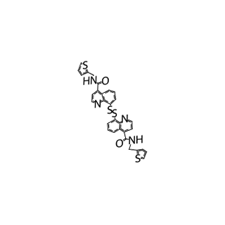 O=C(NCc1cccs1)c1ccnc2c(SSc3cccc4c(C(=O)NCc5cccs5)ccnc34)cccc12